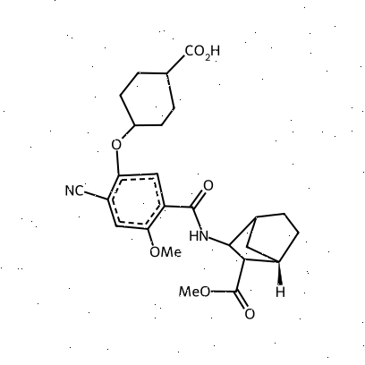 COC(=O)C1C(NC(=O)c2cc(OC3CCC(C(=O)O)CC3)c(C#N)cc2OC)C2CC[C@H]1C2